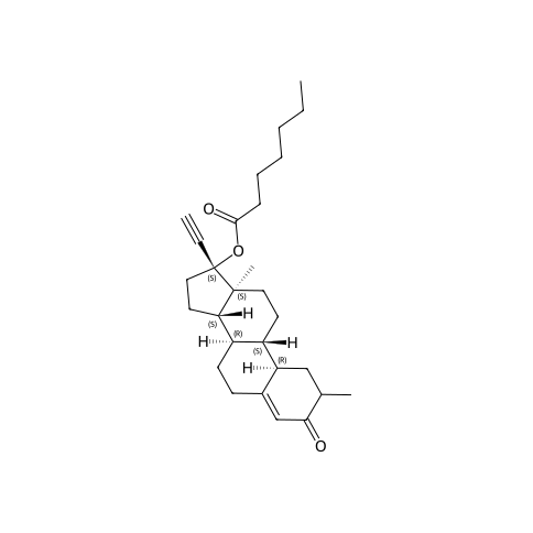 C#C[C@]1(OC(=O)CCCCCC)CC[C@H]2[C@@H]3CCC4=CC(=O)C(C)C[C@@H]4[C@H]3CC[C@@]21C